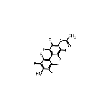 CC(=O)Oc1c(F)c(F)c(-c2c(F)c(F)c(O)c(F)c2F)c(F)c1F